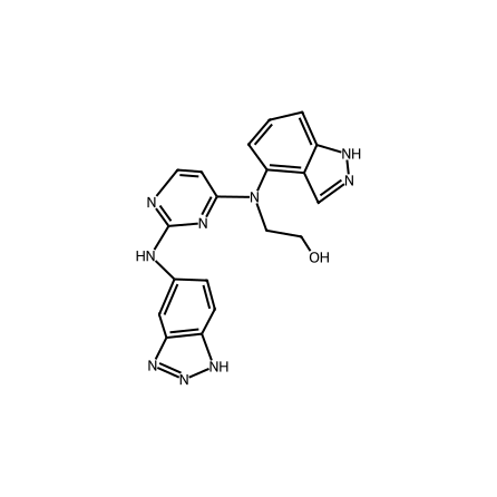 OCCN(c1ccnc(Nc2ccc3[nH]nnc3c2)n1)c1cccc2[nH]ncc12